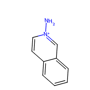 N[n+]1ccc2ccccc2c1